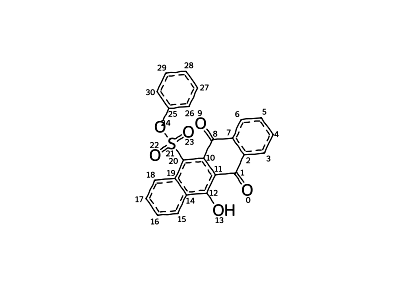 O=C1c2ccccc2C(=O)c2c1c(O)c1ccccc1c2S(=O)(=O)Oc1ccccc1